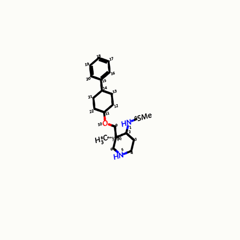 CSNC1CCNC[C@@]1(C)COC1CCC(c2ccccc2)CC1